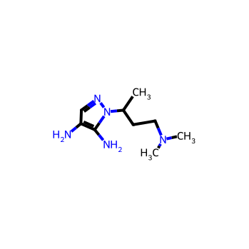 CC(CCN(C)C)n1ncc(N)c1N